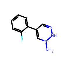 NN1C=C(c2ccccc2F)C=NN1